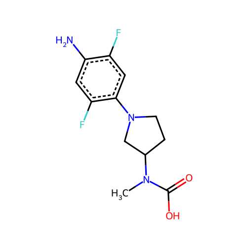 CN(C(=O)O)C1CCN(c2cc(F)c(N)cc2F)C1